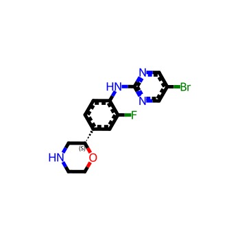 Fc1cc([C@H]2CNCCO2)ccc1Nc1ncc(Br)cn1